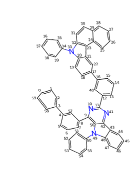 c1ccc(-c2cccc(-c3nc(-c4cccc(-c5ccc6c(c5)c5c7ccccc7ccc5n6-c5ccccc5)c4)nc4c5ccccc5n(-c5ccccc5)c34)c2)cc1